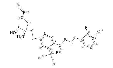 NC(CO)(CCc1ccc(OCCCc2cccc(Cl)c2F)c(C(F)(F)F)c1)COP=O